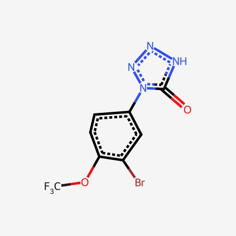 O=c1[nH]nnn1-c1ccc(OC(F)(F)F)c(Br)c1